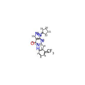 O=c1[nH]c(Cc2ccccc2C(F)(F)F)nc2c1cnn2C1CCCC1